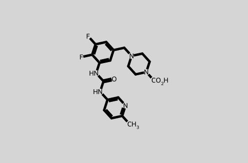 Cc1ccc(NC(=O)Nc2cc(CN3CCN(C(=O)O)CC3)cc(F)c2F)cn1